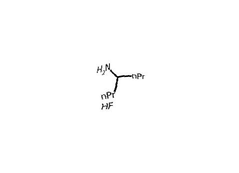 CCCC(N)CCC.F